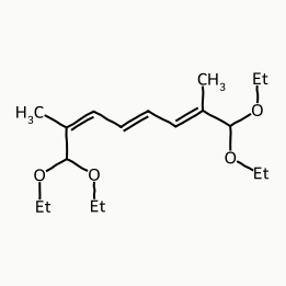 CCOC(OCC)C(C)=CC=CC=C(C)C(OCC)OCC